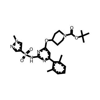 Cc1cccc(C)c1-c1cc(OC2CCN(C(=O)OC(C)(C)C)CC2)nc(NS(=O)(=O)c2cnn(C)c2)n1